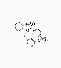 CCCc1ccc(S(=O)(=O)Nc2ccccc2CCc2cccc(C(=O)O)c2)cc1